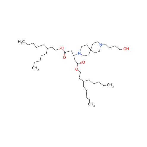 CCCCCC(CCCCC)CCOC(=O)CC(CC(=O)OCCC(CCCCC)CCCCC)N1CCC2(CCN(CCCCO)CC2)CC1